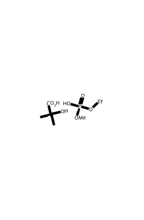 CC(C)(O)C(=O)O.CCOP(=O)(O)OC